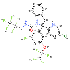 O=C(NCC(F)(F)C(F)(F)F)NC(Cc1ccccc1)(c1cc(F)cc(OC(F)(F)C(F)F)c1)c1ccc(Cl)cn1